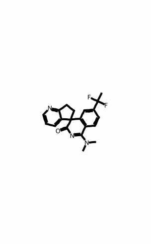 CN(C)C1=NC(=O)C2(CCc3ncccc32)c2cc(C(C)(F)F)ccc21